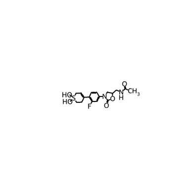 CC(=O)NCC1CN(c2ccc(C3=CCS(O)(O)CC3)c(F)c2)C(=O)O1